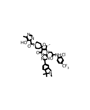 Cc1ncnc(C(=O)N2CCC3(CC2)O[C@H](C)c2c3c(=O)n3nc(-c4ccc5c(c4)CN(C)C5(C)C)nc3n2CC(=O)Nc2ccc(C(F)(F)F)cc2Cl)c1O